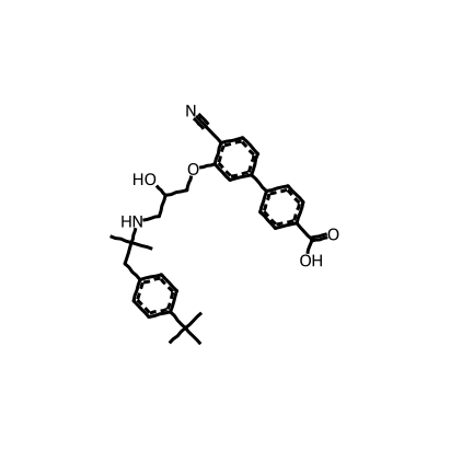 CC(C)(Cc1ccc(C(C)(C)C)cc1)NCC(O)COc1cc(-c2ccc(C(=O)O)cc2)ccc1C#N